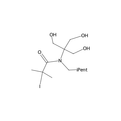 CCCC(C)CN(C(=O)C(C)(C)I)C(CO)(CO)CO